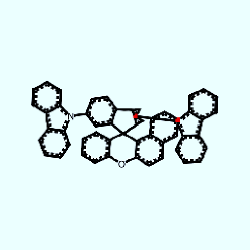 c1ccc2c(c1)Oc1ccc3ccccc3c1C21c2cc(-n3c4ccccc4c4ccccc43)ccc2-c2ccc(-n3c4ccccc4c4ccccc43)cc21